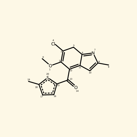 COC1=C(Cl)CC2=NC(C)=[C]C2=C1C(=O)c1ccc(C)s1